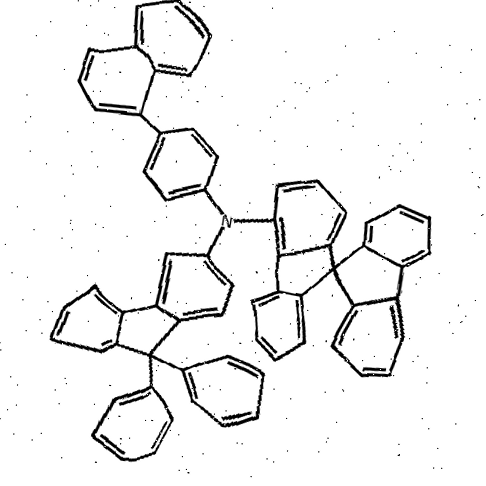 c1ccc(C2(c3ccccc3)c3ccccc3-c3cc(N(c4ccc(-c5cccc6ccccc56)cc4)c4cccc5c4-c4ccccc4C54c5ccccc5-c5ccccc54)ccc32)cc1